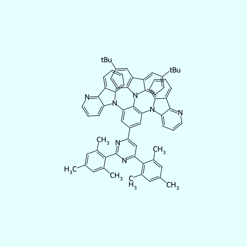 Cc1cc(C)c(-c2cc(-c3cc(-n4c5ccccc5c5ncccc54)c(-n4c5ccc(C(C)(C)C)cc5c5cc(C(C)(C)C)ccc54)c(-n4c5ccccc5c5ncccc54)c3)nc(-c3c(C)cc(C)cc3C)n2)c(C)c1